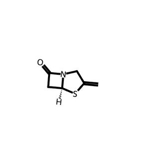 C=C1CN2C(=O)C[C@@H]2S1